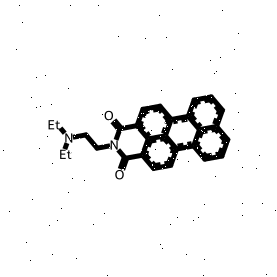 CCN(CC)CCN1C(=O)c2ccc3c4cccc5cccc(c6ccc(c2c36)C1=O)c54